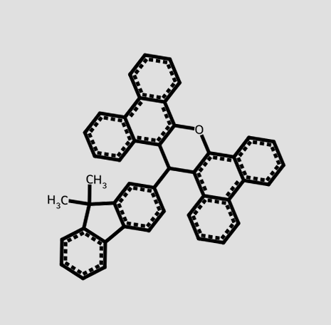 CC1(C)c2ccccc2-c2ccc(C3c4c(c5ccccc5c5ccccc45)Oc4c3c3ccccc3c3ccccc43)cc21